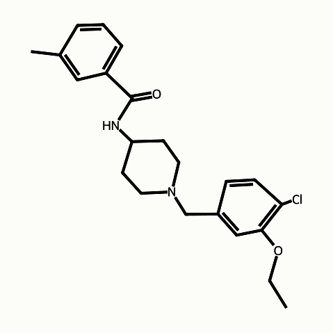 CCOc1cc(CN2CCC(NC(=O)c3cccc(C)c3)CC2)ccc1Cl